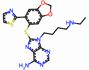 CCNCCCCn1c(Sc2cc3c(cc2-c2nccs2)OCO3)nc2c(N)ncnc21